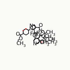 CCOC(=O)C12CCC(n3ncc(C(=O)N(CC(O[Si](CC)(CC)CC)c4c(Cl)cncc4Cl)CC(C)(C)C)c3C(F)(F)F)(CC1)CC2